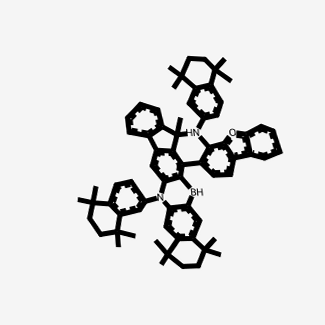 CC1(C)CCC(C)(C)c2cc(Nc3c(-c4c5c(cc6c4C(C)(C)c4ccccc4-6)N(c4ccc6c(c4)C(C)(C)CCC6(C)C)c4cc6c(cc4B5)C(C)(C)CCC6(C)C)ccc4c3oc3ccccc34)ccc21